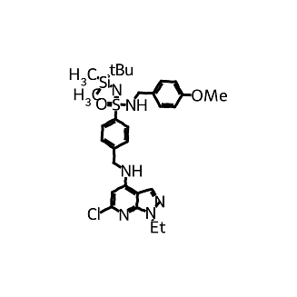 CCn1ncc2c(NCc3ccc(S(=O)(=N[Si](C)(C)C(C)(C)C)NCc4ccc(OC)cc4)cc3)cc(Cl)nc21